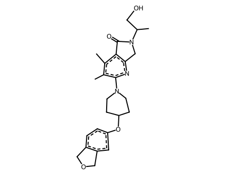 Cc1c(N2CCC(Oc3ccc4c(c3)COC4)CC2)nc2c(c1C)C(=O)N(C(C)CO)C2